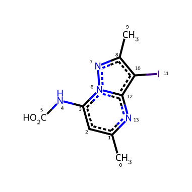 Cc1cc(NC(=O)O)n2nc(C)c(I)c2n1